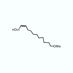 CCCCCCCC/C=C\CCCCCCCCCOC